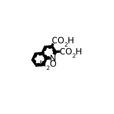 O.O=C(O)c1cc2ccccc2nc1C(=O)O